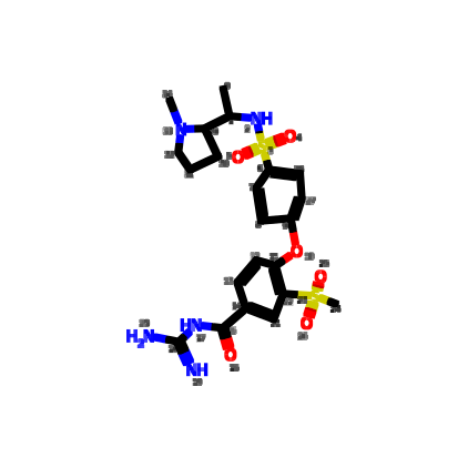 CC(NS(=O)(=O)c1ccc(Oc2ccc(C(=O)NC(=N)N)cc2S(C)(=O)=O)cc1)C1CCCN1C